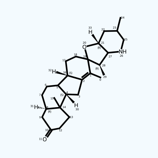 CC1=C2C[C@H]3C(CC[C@@H]4CC(=O)CCC43C)[C@@H]2CCC12O[C@@H]1CC(C)CNC1[C@H]2C